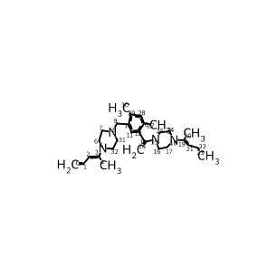 C=C/C=C(\C)N1CCN(Cc2cc(C(=C)N3CCN(/C(C)=C/CC)CC3)c(C)cc2C)CC1